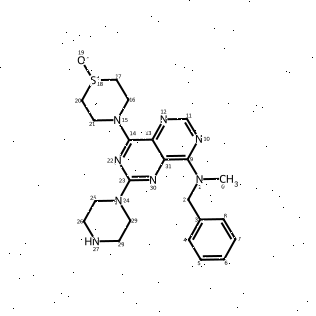 CN(Cc1ccccc1)c1ncnc2c(N3CC[S+]([O-])CC3)nc(N3CCNCC3)nc12